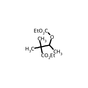 CCOC(=O)OC(C)C(C)(C)C(=O)OCC